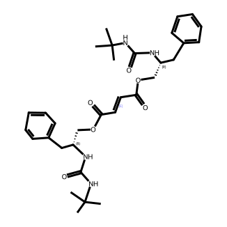 CC(C)(C)NC(=O)N[C@@H](COC(=O)/C=C/C(=O)OC[C@@H](Cc1ccccc1)NC(=O)NC(C)(C)C)Cc1ccccc1